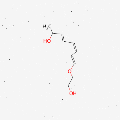 CC(O)/C=C/C=C\C=C\OCCO